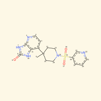 CC1(c2ccnc3[nH]c(=O)[nH]c23)CCN(S(=O)(=O)c2cccnc2)CC1